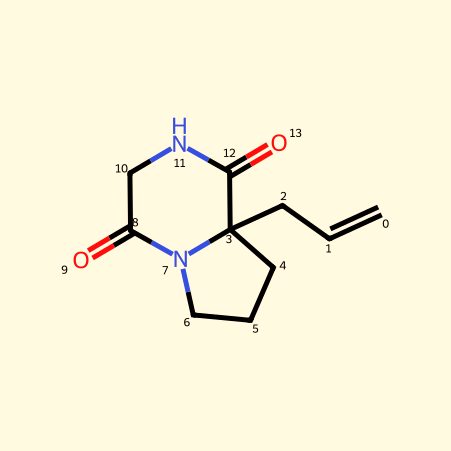 C=CCC12CCCN1C(=O)CNC2=O